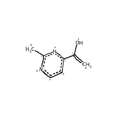 C=C(O)c1ccnc(C)n1